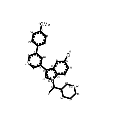 COc1ccc(-c2cncc(-c3cn(C(C)C4CCCNC4)c4ccc(Cl)cc34)c2)cc1